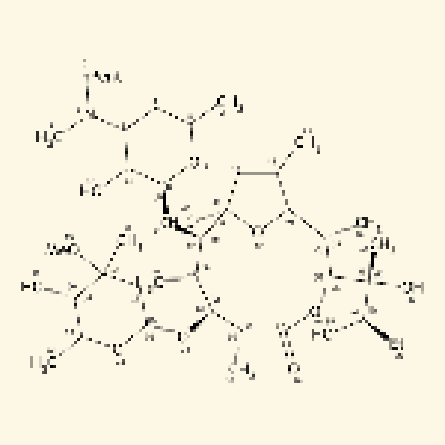 CCCCCN(C)C1CC(C)O[C@@H](O[C@@H]2[C@@H](C)[C@H](O[C@H]3CC(C)(OC)[C@@H](O)C(C)O3)[C@@H](C)C(=O)O[C@@H]([C@](C)(O)[C@H](O)CC)[C@@H](C)C3O[C@]2(C)CC3C)C1O